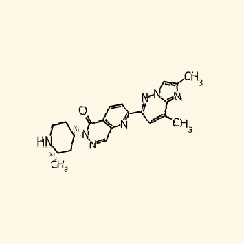 Cc1cn2nc(-c3ccc4c(=O)n([C@H]5CCN[C@@H](C)C5)ncc4n3)cc(C)c2n1